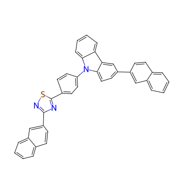 c1ccc2cc(-c3ccc4c(c3)c3ccccc3n4-c3ccc(-c4nc(-c5ccc6ccccc6c5)ns4)cc3)ccc2c1